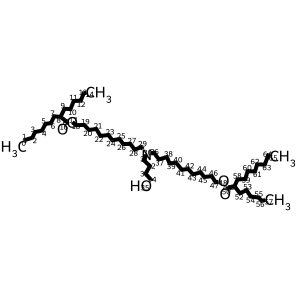 CCCCCCCCC(CCCCCC)C(=O)OCCCCCCCCCCCCN(CCCCO)CCCCCCCCCCCCOC(=O)C(CCCCCC)CCCCCCCC